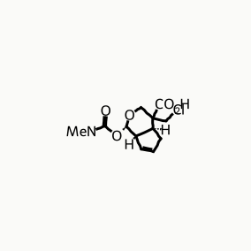 CNC(=O)O[C@@H]1OCC(CCl)(C(=O)O)[C@H]2CC=C[C@@H]12